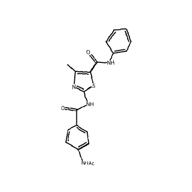 CC(=O)Nc1ccc(C(=O)Nc2nc(C)c(C(=O)Nc3ccccc3)s2)cc1